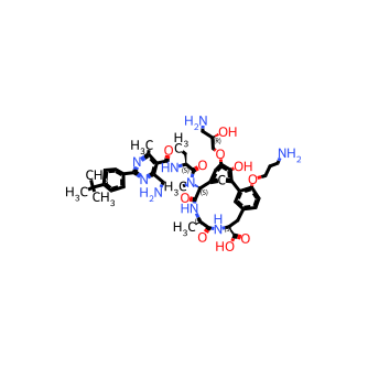 CC[C@H](NC(=O)c1c(C)nc(-c2ccc(C(C)(C)C)cc2)nc1CN)C(=O)N(C)[C@@H]1C(=O)N[C@@H](C)C(=O)N[C@H](C(=O)O)Cc2ccc(OCCCN)c(c2)-c2cc1cc(OC[C@H](O)CN)c2O